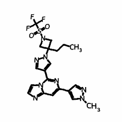 CCCC1(n2cc(-c3nc(-c4cnn(C)c4)cc4nccn34)cn2)CN(S(=O)(=O)C(F)(F)F)C1